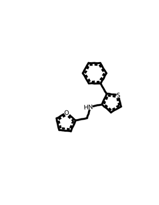 c1ccc(-c2sccc2NCc2ccco2)cc1